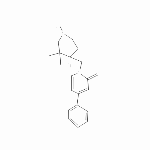 CC1(C)CN(C(=O)O)CC[C@@]1(O)Cn1ccc(-c2ccccc2)cc1=O